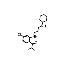 CC(C)C(=O)c1ccc(Cl)cc1NCCCNC1CCCCC1